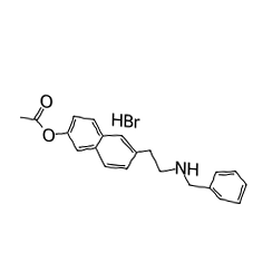 Br.CC(=O)Oc1ccc2cc(CCNCc3ccccc3)ccc2c1